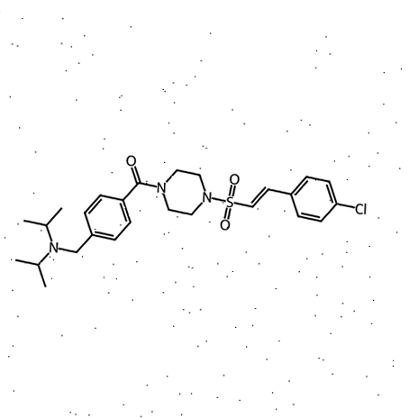 CC(C)N(Cc1ccc(C(=O)N2CCN(S(=O)(=O)C=Cc3ccc(Cl)cc3)CC2)cc1)C(C)C